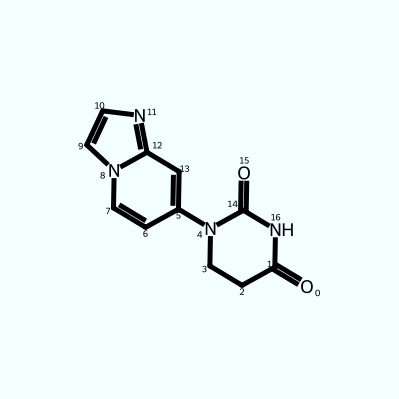 O=C1CCN(c2ccn3ccnc3c2)C(=O)N1